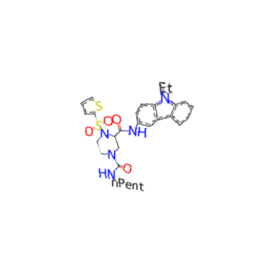 CCCCCNC(=O)N1CCN(S(=O)(=O)c2cccs2)C(C(=O)Nc2ccc3c(c2)c2ccccc2n3CC)C1